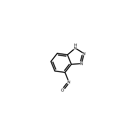 O=Nc1cccc2[nH]nnc12